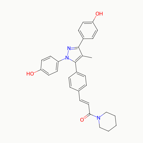 Cc1c(-c2ccc(O)cc2)nn(-c2ccc(O)cc2)c1-c1ccc(/C=C/C(=O)N2CCCCC2)cc1